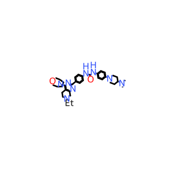 CCN1CCc2c(nc(-c3ccc(NC(=O)Nc4ccc(N5CCC(N(C)C)CC5)cc4)cc3)nc2N2C3CCC2COC3)C1